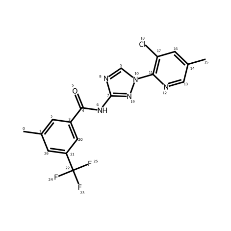 Cc1cc(C(=O)Nc2ncn(-c3ncc(C)cc3Cl)n2)cc(C(F)(F)F)c1